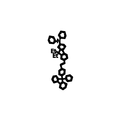 CCC1(CC)c2cc(C=Cc3ccc(C4(c5ccccc5)c5ccccc5-c5ccccc54)cc3)ccc2-c2ccc(N(c3ccccc3)c3ccccc3)cc21